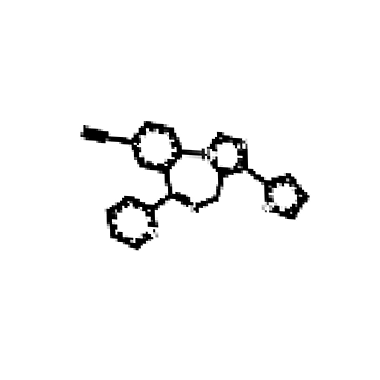 C#Cc1ccc2c(c1)C(c1ccccn1)=NCc1c(-c3ccco3)ncn1-2